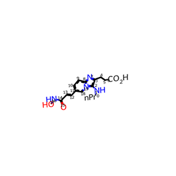 CCCNc1c(CCC(=O)O)nc2ccc(/C=C/C(=O)NO)cn12